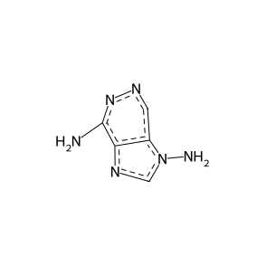 Nc1nncc2c1ncn2N